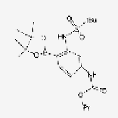 CC(C)OC(=O)Nc1ccc(B2OC(C)(C)C(C)(C)O2)c(NS(=O)(=O)C(C)(C)C)c1